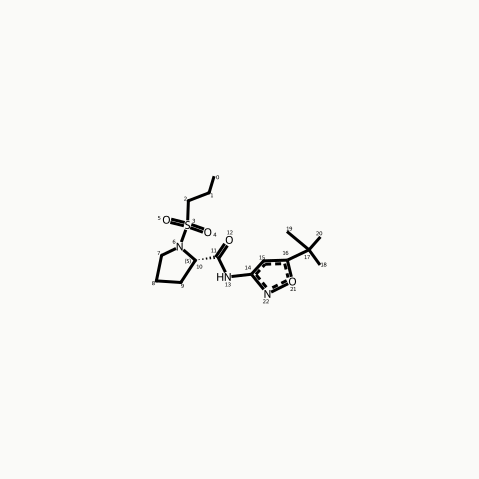 CCCS(=O)(=O)N1CCC[C@H]1C(=O)Nc1cc(C(C)(C)C)on1